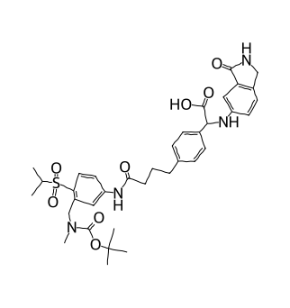 CC(C)S(=O)(=O)c1ccc(NC(=O)CCCc2ccc(C(Nc3ccc4c(c3)C(=O)NC4)C(=O)O)cc2)cc1CN(C)C(=O)OC(C)(C)C